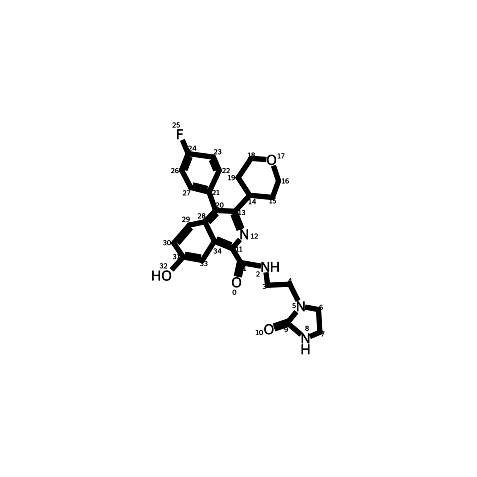 O=C(NCCN1CCNC1=O)c1nc(C2CCOCC2)c(-c2ccc(F)cc2)c2ccc(O)cc12